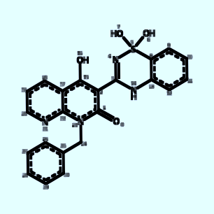 O=c1c(C2=NS(O)(O)c3ccccc3N2)c(O)c2cccnc2n1Cc1ccccc1